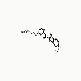 COCCCOc1ccnc(CC(=O)c2nc3cc(OC(F)(F)F)ccc3[nH]2)c1C